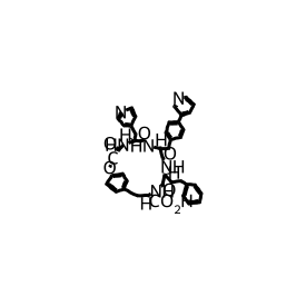 O=C1COc2ccc(cc2)C[C@@H](C(=O)O)NC(=O)[C@H](CCc2ccccc2)NC(=O)[C@@H](Cc2ccc(-c3cccnc3)cc2)NC(=O)[C@H](Cc2ccncc2)N1